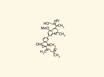 C=C(C1=Cc2c(cc(-c3ccc(C=O)c(N(C)C(=O)N(C)CC[S+](C)[O-])c3)cc2OC)N=C(C)C1)N(CCC)CCO